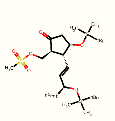 CCCCC[C@@H](C=C[C@H]1[C@H](O[Si](C)(C)C(C)(C)C)CC(=O)[C@@H]1COS(C)(=O)=O)O[Si](C)(C)CCCC